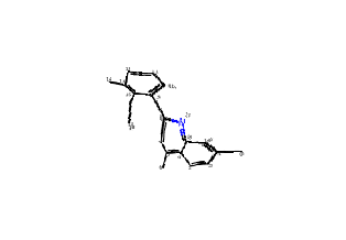 Cc1ccc2c(C)cc(-c3cccc(C)c3C)nc2c1